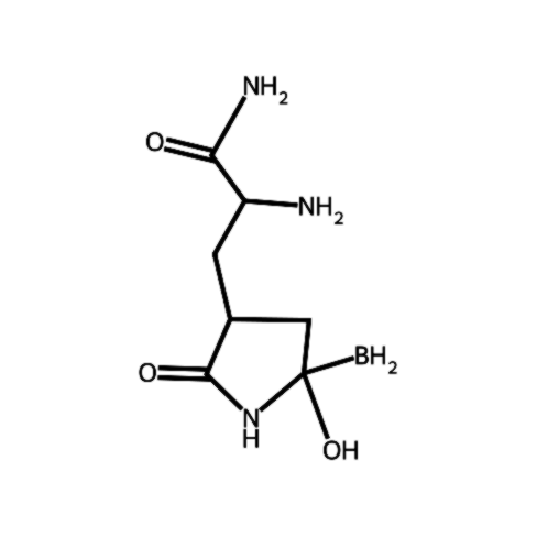 BC1(O)CC(CC(N)C(N)=O)C(=O)N1